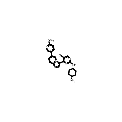 COc1ccc(-c2ccc3ncc(-c4nc(N[C@H]5CC[C@H](N)CC5)ncc4Cl)n3c2)cn1